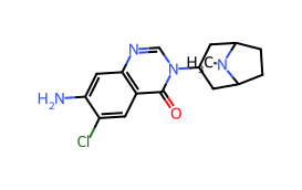 CN1C2CCC1CC(n1cnc3cc(N)c(Cl)cc3c1=O)C2